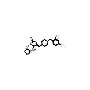 O=C1N=C(N[C@@H]2COC[C@H]2O)C(=CC2CCN(Cc3ccc(C(F)(F)F)cc3C(F)(F)F)CC2)S1